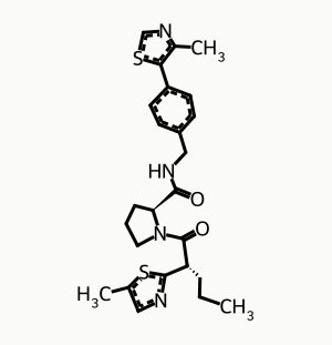 CCC[C@@H](C(=O)N1CCC[C@H]1C(=O)NCc1ccc(-c2scnc2C)cc1)c1ncc(C)s1